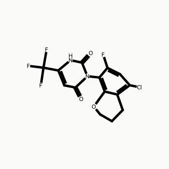 O=c1cc(C(F)(F)F)[nH]c(=O)n1-c1c(F)cc(Cl)c2c1OCCC2